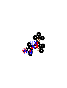 CC/C(=N\OC)[C@@H]1C2CCC(C[C@H]1c1ccc3ccccc3c1)N2CCCN(CCSC(c1ccccc1)(c1ccccc1)c1ccccc1)CC(=O)NCCSC(c1ccccc1)(c1ccccc1)c1ccccc1